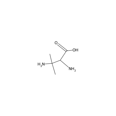 CC(C)(N)C(N)C(=O)O